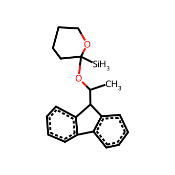 CC(OC1([SiH3])CCCCO1)C1c2ccccc2-c2ccccc21